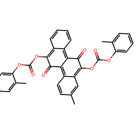 Cc1ccc2c(c1)=C(OC(=O)Oc1ccccc1C)C(=O)C1=c3ccccc3=C(OC(=O)Oc3ccccc3C)C(=O)C=21